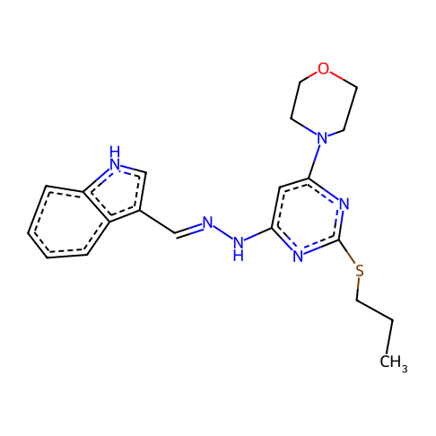 CCCSc1nc(NN=Cc2c[nH]c3ccccc23)cc(N2CCOCC2)n1